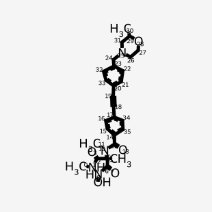 CNC(=O)[C@@](C)(C(=O)NO)N(C)C(=O)c1ccc(C#Cc2ccc(CN3CCOC(C)C3)cc2)cc1